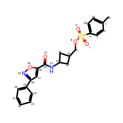 Cc1ccc(S(=O)(=O)OCC2CC(NC(=O)c3cc(-c4ccccc4)no3)C2)cc1